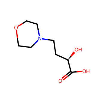 O=C(O)[C@H](O)CCN1CCOCC1